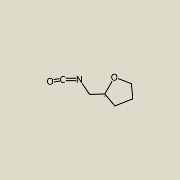 O=C=NC[C]1CCCO1